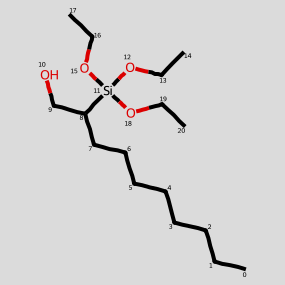 CCCCCCCCC(CO)[Si](OCC)(OCC)OCC